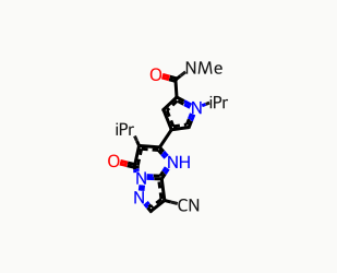 CNC(=O)c1cc(-c2[nH]c3c(C#N)cnn3c(=O)c2C(C)C)cn1C(C)C